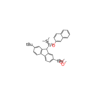 C[O-].C[O-].C[Si](C)=[Ti+2]([O]c1ccc2ccccc2c1)[CH]1c2cc(C(C)(C)C)ccc2-c2ccc(C(C)(C)C)cc21